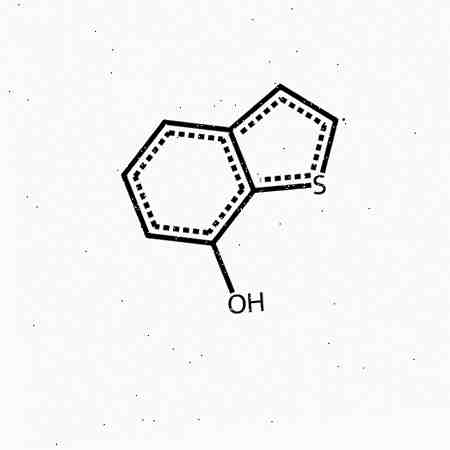 Oc1cccc2c[c]sc12